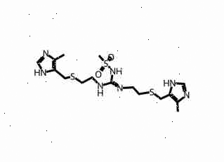 Cc1nc[nH]c1CSCC/N=C(/NCCSCc1[nH]cnc1C)NS(C)(=O)=O